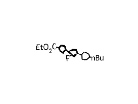 CCCCC1CCC(c2ccc(-c3ccc(C(=O)OCC)cc3)c(F)c2)CC1